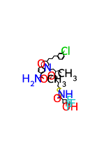 CC[C@H](CCN1CC(CCCc2cccc(Cl)c2)COc2ccc(C(N)=O)cc21)[C@H](/C=C/CCCSNC(=O)C1CC(O)(C(F)(F)F)C1)OC